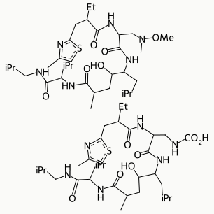 CCC(Cc1nc(C)cs1)C(=O)NC(CN(C)OC)C(=O)NC(CC(C)C)C(O)CC(C)C(=O)NC(C(=O)NCC(C)C)C(C)C.CCC(Cc1nc(C)cs1)C(=O)NC(CNC(=O)O)C(=O)NC(CC(C)C)C(O)CC(C)C(=O)NC(C(=O)NCC(C)C)C(C)C